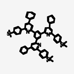 C[Si](C)(C)c1ccc(-c2cc(-c3ccccc3)cc(-c3cc(-c4cc(-c5ccccc5)cc(-c5ccc([Si](C)(C)C)cc5)n4)cc(-c4cc(-c5ccccc5)cc(-c5ccc([Si](C)(C)C)cc5)n4)c3)n2)cc1